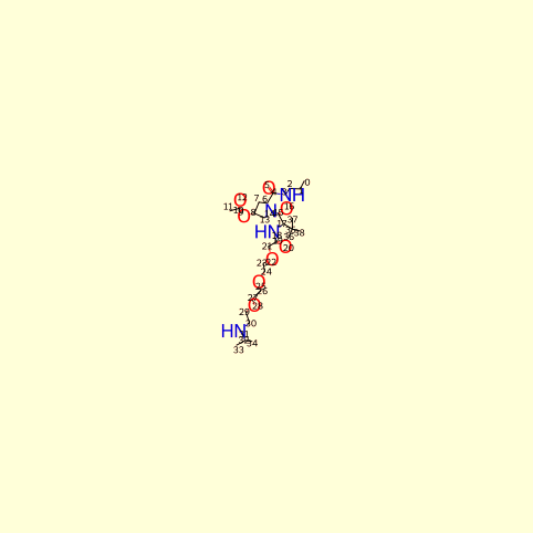 CCCNC(=O)C1CC(OC(C)=O)CN1C(=O)C(NC(=O)COCCOCCOCCNC(C)C)C(C)(C)C